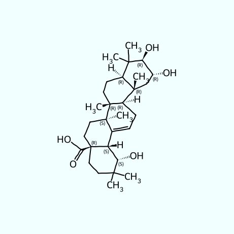 CC1(C)CC[C@]2(C(=O)O)CC[C@]3(C)C(=CC[C@@H]4[C@@]5(C)C[C@@H](O)[C@H](O)C(C)(C)[C@@H]5CC[C@]43C)[C@@H]2[C@@H]1O